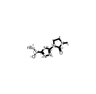 CCCC[S+]([O-])c1nnc(N2CCN(C)C2=O)s1